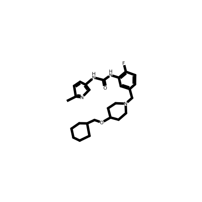 Cc1ccc(NC(=O)Nc2cc(CN3CCC(OCC4CCCCC4)CC3)ccc2F)cn1